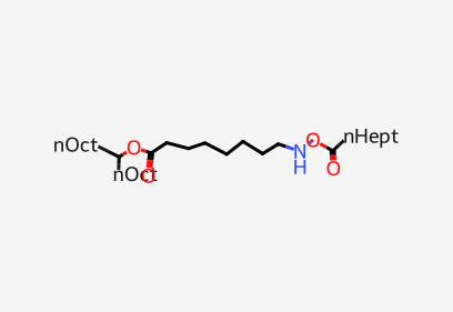 CCCCCCCCC(CCCCCCCC)OC(=O)CCCCCCCNOC(=O)CCCCCCC